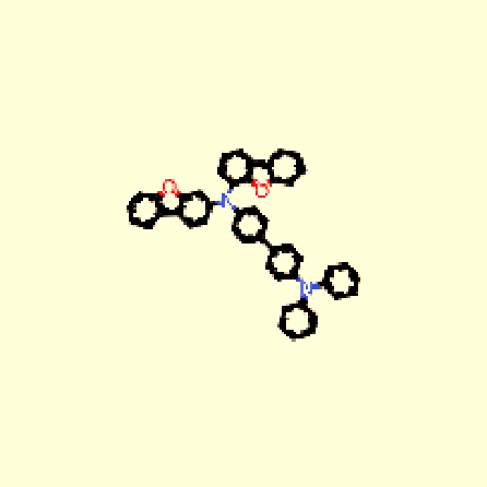 c1ccc(N(c2ccccc2)c2ccc(-c3ccc(N(c4ccc5c(c4)oc4ccccc45)c4cccc5c4oc4ccccc45)cc3)cc2)cc1